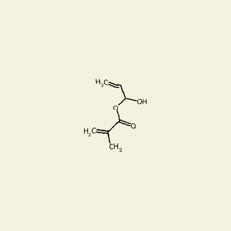 C=C[C](O)OC(=O)C(=C)C